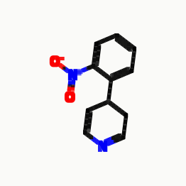 O=[N+]([O-])c1ccccc1C1C=CN=CC1